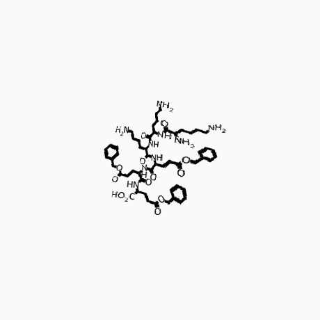 NCCCCC(N)C(=O)NC(CCCCN)C(=O)NC(CCCCN)C(=O)NC(CCC(=O)OCc1ccccc1)C(=O)NC(CCC(=O)OCc1ccccc1)C(=O)NC(CCC(=O)OCc1ccccc1)C(=O)O